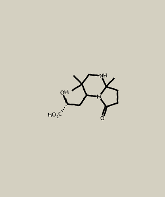 CC1(C)CNC2(C)CCC(=O)N2C1C[C@@H](O)C(=O)O